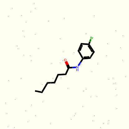 CCCCCCC(=O)Nc1ccc(Br)cc1